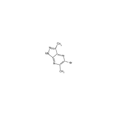 Cc1nc2[nH]nc(C)c2nc1Br